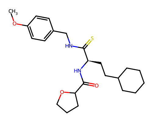 COc1ccc(CNC(=S)[C@@H](CCC2CCCCC2)NC(=O)C2CCCO2)cc1